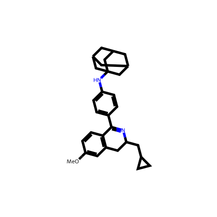 COc1ccc2c(c1)CC(CC1CC1)N=C2c1ccc(NC23CC4CC(CC(C4)C2)C3)cc1